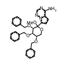 COC1(c2ccc3c(N)ncnn23)OC[C@@H](OCc2ccccc2)[C@@H](OCc2ccccc2)[C@H]1OCc1ccccc1